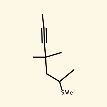 CC#CC(C)(C)CC(C)SC